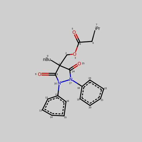 CCCCC1(COC(=O)CC(C)C)C(=O)N(c2ccccc2)N(c2ccccc2)C1=O